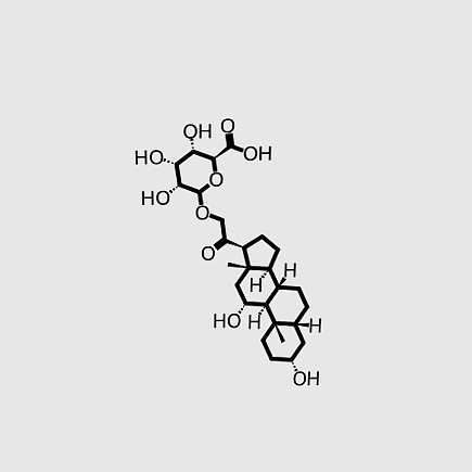 C[C@]12CC[C@@H](O)C[C@H]1CC[C@@H]1[C@@H]2[C@H](O)C[C@]2(C)[C@@H](C(=O)COC3O[C@H](C(=O)O)[C@@H](O)[C@@H](O)[C@H]3O)CC[C@@H]12